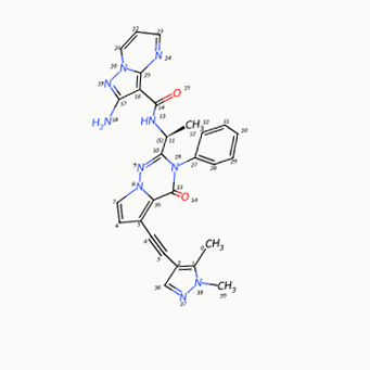 Cc1c(C#Cc2ccn3nc([C@H](C)NC(=O)c4c(N)nn5cccnc45)n(-c4ccccc4)c(=O)c23)cnn1C